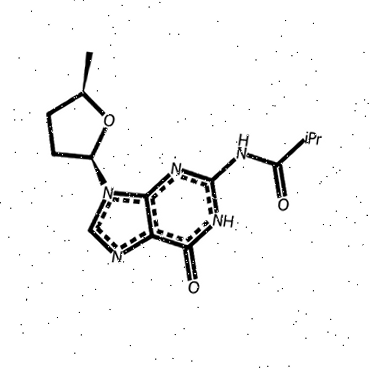 CC(C)C(=O)Nc1nc2c(ncn2[C@H]2CC[C@@H](C)O2)c(=O)[nH]1